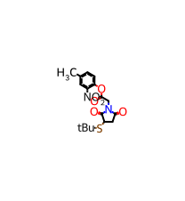 Cc1ccc(OC(=O)CN2C(=O)CC(SC(C)(C)C)C2=O)c([N+](=O)[O-])c1